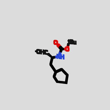 CC(C)(C)OC(=O)N[C@H]([C]=O)CC1CCCCC1